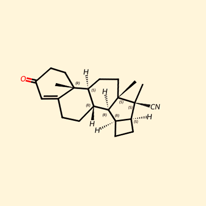 C[C@]12CCC(=O)C=C1CC[C@H]1[C@@H]3[C@@H]4CC[C@@H]4[C@](C)(C#N)[C@@]3(C)CC[C@@H]12